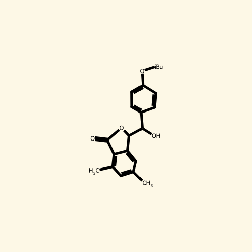 CCC(C)Oc1ccc(C(O)C2OC(=O)c3c(C)cc(C)cc32)cc1